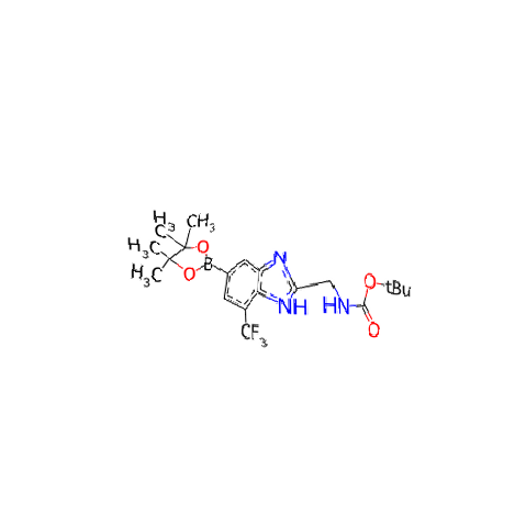 CC(C)(C)OC(=O)NCc1nc2cc(B3OC(C)(C)C(C)(C)O3)cc(C(F)(F)F)c2[nH]1